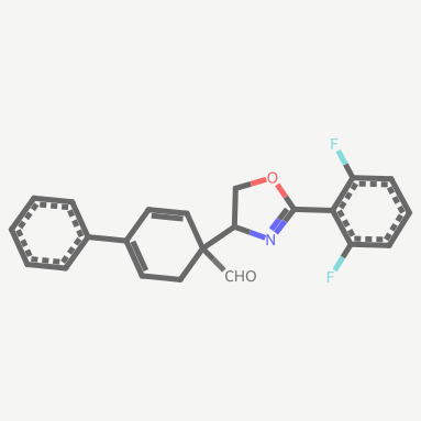 O=CC1(C2COC(c3c(F)cccc3F)=N2)C=CC(c2ccccc2)=CC1